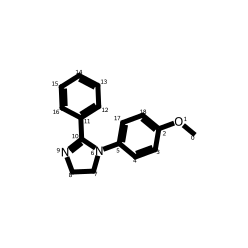 COc1ccc(N2CCN=C2c2ccccc2)cc1